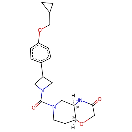 O=C1CO[C@H]2CCN(C(=O)N3CC(c4ccc(OCC5CC5)cc4)C3)C[C@H]2N1